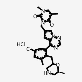 Cc1cc(Cl)cc(-c2ncnn3cc(Cn4c(=O)c(C)cn(C)c4=O)cc23)c1CC1CNC[C@H](C)O1.Cl